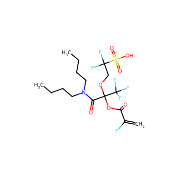 C=C(F)C(=O)OC(OCC(F)(F)S(=O)(=O)O)(C(=O)N(CCCC)CCCC)C(F)(F)F